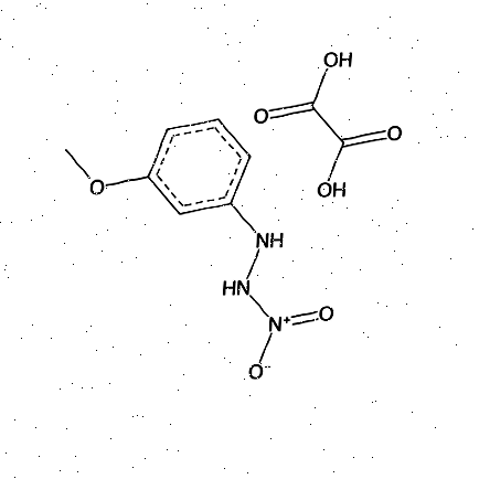 COc1cccc(NN[N+](=O)[O-])c1.O=C(O)C(=O)O